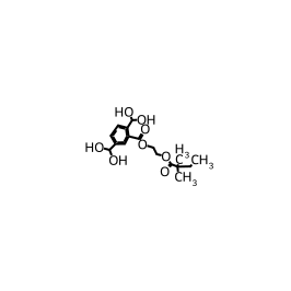 CCC(C)(C)C(=O)OCCOC(=O)c1cc(C(O)O)ccc1C(O)O